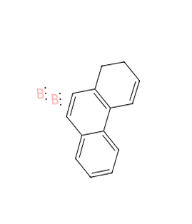 C1=Cc2c(ccc3ccccc23)CC1.[B].[B]